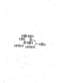 CCCCCCB1NBNB(CC(CCCC)CCCCCC)N1